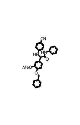 COc1cc(C(Nc2ccc(C#N)cc2)C(=O)Nc2ccccc2)ccc1OCc1ccccc1